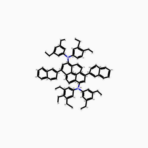 CCc1cc(CC)cc(N(c2ccc(CC)c(CC)c2)c2cc(-c3ccc4ccccc4c3)c3ccc4c(N(c5cc(CC)cc(CC)c5)c5cc(CC)c(CC)c(CC)c5)cc(-c5ccc6ccccc6c5)c5ccc2c3c54)c1